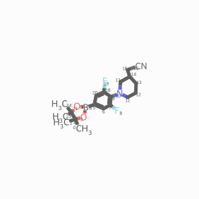 CC1(C)OB(c2cc(F)c(N3CCCC(CC#N)C3)c(F)c2)OC1(C)C